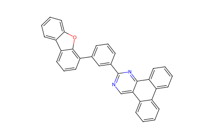 c1cc(-c2ncc3c4ccccc4c4ccccc4c3n2)cc(-c2cccc3c2oc2ccccc23)c1